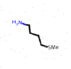 CSCCCCN